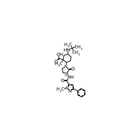 Cn1nc(-c2ccccc2)cc1C(=O)N[C@H]1CCN(C2CCC(NC(C)(C)C)CC2(C)C(=O)O)C1=O